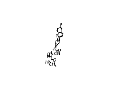 CNC(=O)c1cc(CN(C(=O)O)C2C3CN(c4ccc5cc(F)ccc5n4)CC32)on1